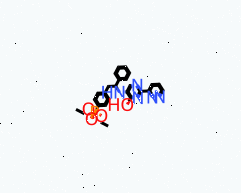 CCOP(=O)(OCC)c1ccc(CC(Nc2cnc(-c3cccnn3)nc2O)c2ccccc2)cc1